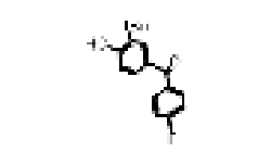 CC(C)(C)c1cc(C(=O)c2ccc(F)cc2)ccc1O